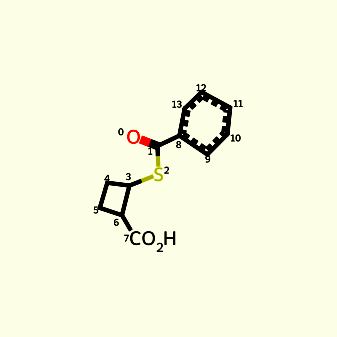 O=C(SC1CCC1C(=O)O)c1ccccc1